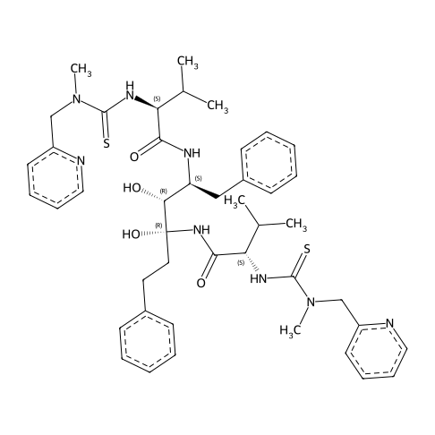 CC(C)[C@H](NC(=S)N(C)Cc1ccccn1)C(=O)N[C@@H](Cc1ccccc1)[C@@H](O)[C@](O)(CCc1ccccc1)NC(=O)[C@@H](NC(=S)N(C)Cc1ccccn1)C(C)C